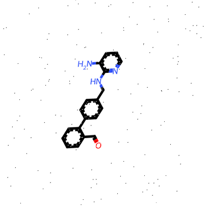 Nc1cccnc1NCc1ccc(-c2ccccc2C=O)cc1